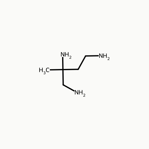 CC(N)(CN)CCN